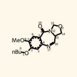 CCCCOc1cc2c(cc1OC)C(=O)N1COCC1C=N2